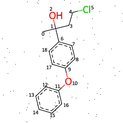 CC(O)(CCCl)c1ccc(Oc2ccccc2)cc1